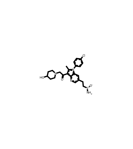 Cc1c(C(=O)CN2CCC(O)CC2)c2ncc(CC[S+](N)[O-])cc2n1-c1ccc(Cl)cc1